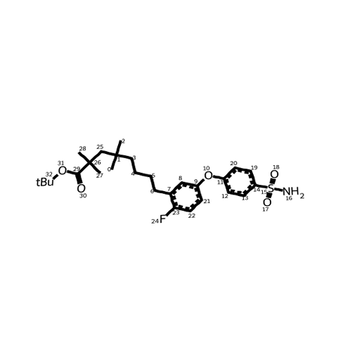 CC(C)(CCCCc1cc(Oc2ccc(S(N)(=O)=O)cc2)ccc1F)CC(C)(C)C(=O)OC(C)(C)C